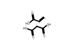 C=CC(=O)O.O=C(O)CC(=O)O